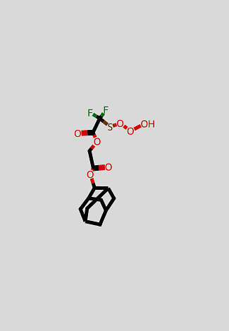 O=C(COC(=O)C(F)(F)SOOO)OC1C2CC3CC(C2)CC1C3